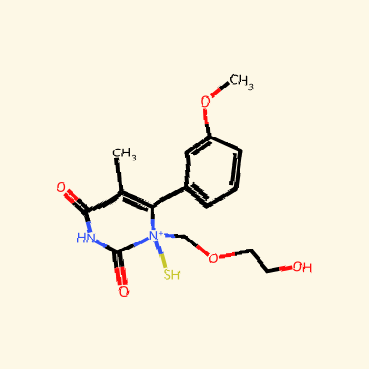 COc1cccc(C2=C(C)C(=O)NC(=O)[N+]2(S)COCCO)c1